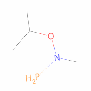 CC(C)ON(C)P